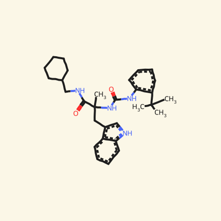 CC(Cc1c[nH]c2ccccc12)(NC(=O)Nc1ccccc1C(C)(C)C)C(=O)NCC1CCCCC1